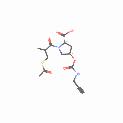 C#CCNC(=O)O[C@@H]1C[C@@H](C(=O)O)N(C(=O)C(C)CSC(C)=O)C1